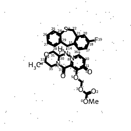 COC(=O)OCOc1c2n(ccc1=O)N([C@H]1c3ccc(F)cc3CSc3ccccc31)[C@@H]1CO[C@@H](C)CN1C2=O